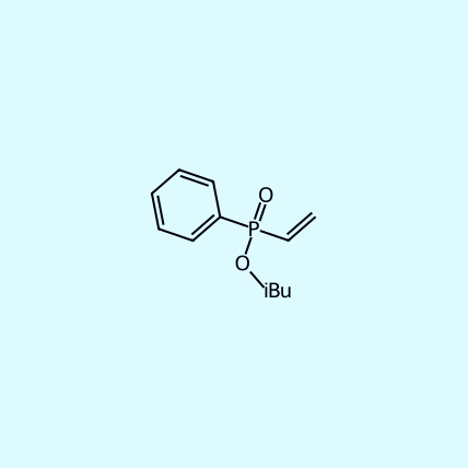 C=CP(=O)(OC(C)CC)c1ccccc1